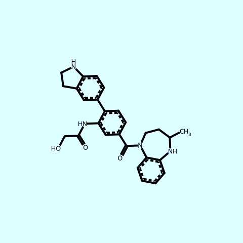 CC1CCN(C(=O)c2ccc(-c3ccc4c(c3)CCN4)c(NC(=O)CO)c2)c2ccccc2N1